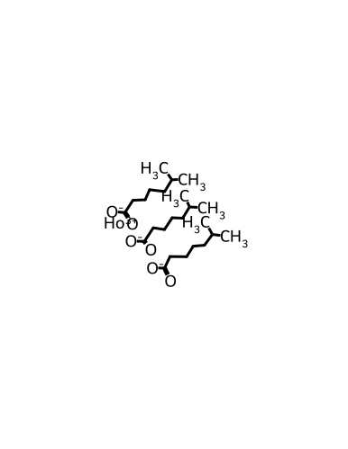 CC(C)CCCCC(=O)[O-].CC(C)CCCCC(=O)[O-].CC(C)CCCCC(=O)[O-].[Ho+3]